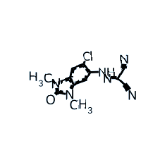 Cn1c(=O)n(C)c2cc(NN=C(C#N)C#N)c(Cl)cc21